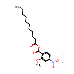 CCCCCCCCCCC(=O)OC(=O)c1ccc([N+](=O)[O-])cc1OC